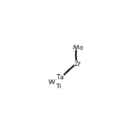 [Mo][Zr][Ta].[Ti].[W]